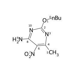 CCCCOc1nc(C)c([N+](=O)[O-])c(N)n1